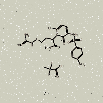 Cc1ccc(NS(=O)(=O)c2ccc([N+](=O)[O-])cc2)c(=O)n1C(CCONC(=N)N)C(N)=O.O=C(O)C(F)(F)F